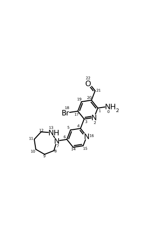 Nc1nc(-c2cc(N3CCCCCN3)ccn2)c(Br)cc1C=O